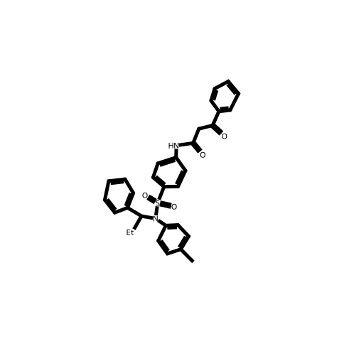 CCC(c1ccccc1)N(c1ccc(C)cc1)S(=O)(=O)c1ccc(NC(=O)CC(=O)c2ccccc2)cc1